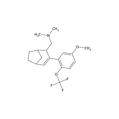 COc1ccc(OC(F)(F)F)c(C2=CC3CCC(C3)C2CN(C)C)c1